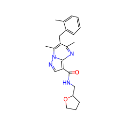 Cc1ccccc1Cc1c(C)nc2c(C(=O)NCC3CCCO3)cnn2c1C